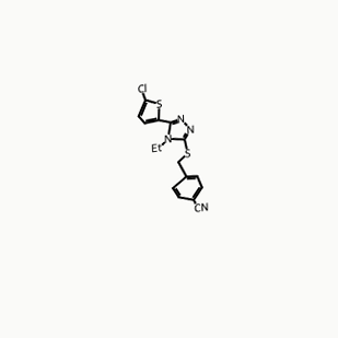 CCn1c(SCc2ccc(C#N)cc2)nnc1-c1ccc(Cl)s1